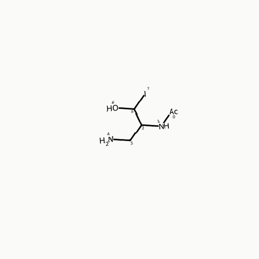 CC(=O)NC(CN)C(O)I